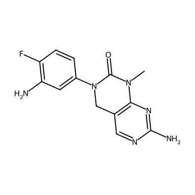 CN1C(=O)N(c2ccc(F)c(N)c2)Cc2cnc(N)nc21